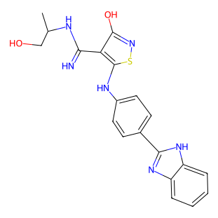 CC(CO)NC(=N)c1c(O)nsc1Nc1ccc(-c2nc3ccccc3[nH]2)cc1